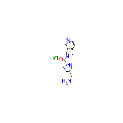 Cl.NCc1cnc(C(=O)NCc2cccnc2)nc1